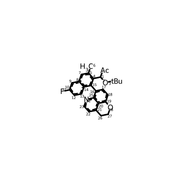 CC(=O)C(OC(C)(C)C)c1c(C)cc2cc(F)ccc2c1-c1ccc2c3c(ccnc13)CCO2